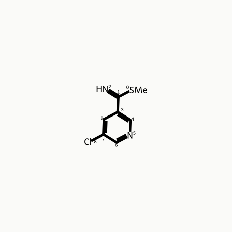 CSC(=N)c1cncc(Cl)c1